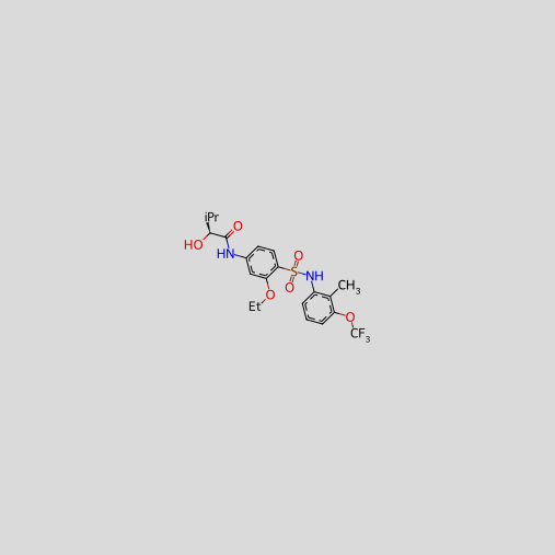 CCOc1cc(NC(=O)[C@@H](O)C(C)C)ccc1S(=O)(=O)Nc1cccc(OC(F)(F)F)c1C